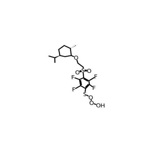 CC(C)[C@H]1CC[C@H](C)C(OCCS(=O)(=O)c2c(F)c(F)c(SOOO)c(F)c2F)C1